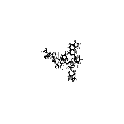 C=C[C@@H]1C[C@]1(NC(=O)[C@@H]1C[C@@H](Oc2cc(-c3ccccn3)nc3c4c(ccc23)CCC4)CN1C(=O)[C@@H](CC(=O)N1CCC(C(F)(F)F)CC1)C(C)(C)C)C(=O)NS(=O)(=O)C1CC1